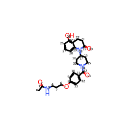 CC(=O)NCCCOc1ccc(C(=O)N2CCC(N3C(=O)CCc4c(O)cccc43)CC2)cc1